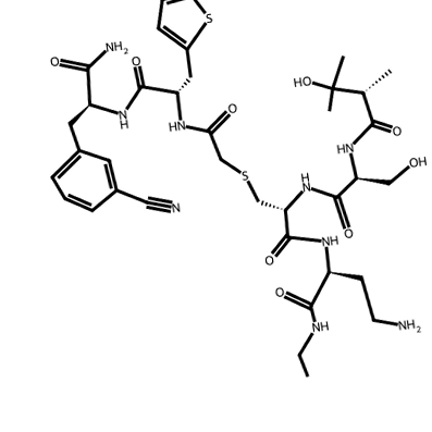 CCNC(=O)[C@H](CCN)NC(=O)[C@H](CSCC(=O)N[C@@H](Cc1cccs1)C(=O)N[C@@H](Cc1cccc(C#N)c1)C(N)=O)NC(=O)[C@H](CO)NC(=O)[C@@H](C)C(C)(C)O